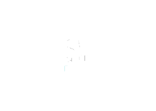 C[Si](c1ccccc1)(C(F)F)C(F)(F)F